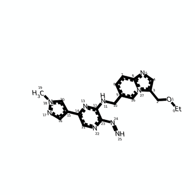 CCOCc1cnc2ccc(CNc3nc(-c4cnn(C)c4)cnc3N=N)cn12